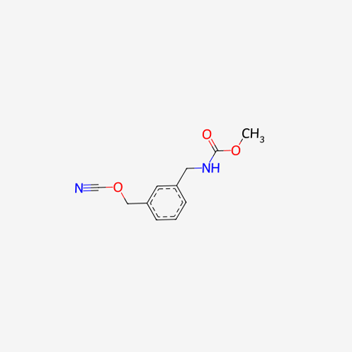 COC(=O)NCc1cccc(COC#N)c1